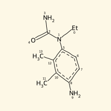 CCN(C(N)=O)c1ccc(N)c(C)c1C